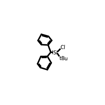 CC(C)(C)[SiH](Cl)C(c1ccccc1)c1ccccc1